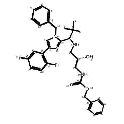 CC(C)(C)[C@@H](NC[C@H](O)CNC(=O)OCc1ccccc1)c1nc(-c2cc(F)ccc2F)cn1Cc1ccccc1